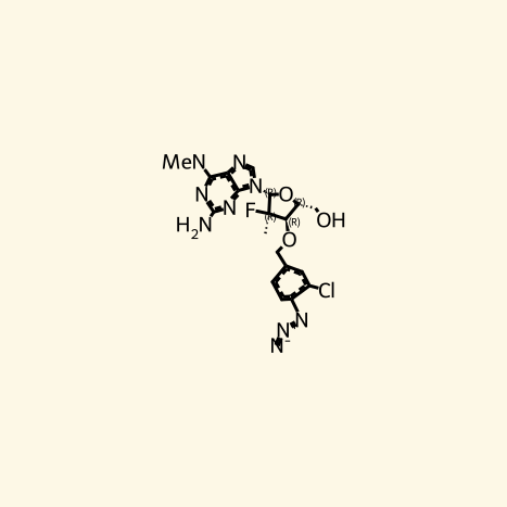 CNc1nc(N)nc2c1ncn2[C@@H]1O[C@H](CO)[C@@H](OCc2ccc(N=[N+]=[N-])c(Cl)c2)[C@@]1(C)F